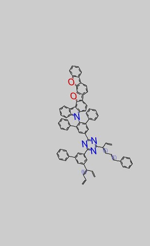 C=C/C=C(\C=C)c1cc(-c2ccccc2)cc(-c2nc(/C(C=C)=C/C=C/c3ccccc3)nc(-c3cc(-c4ccccc4)c(-n4c5ccccc5c5c6oc7c(ccc8c9ccccc9oc87)c6ccc54)c(-c4ccccc4)c3)n2)c1